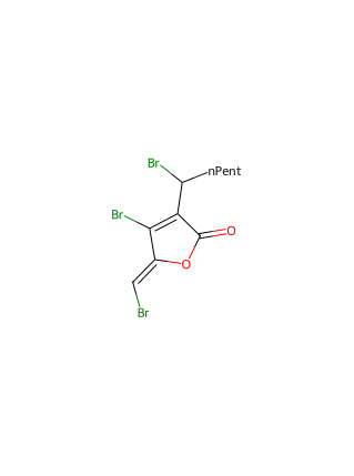 CCCCCC(Br)C1=C(Br)C(=CBr)OC1=O